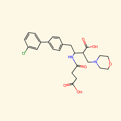 O=C(O)CCC(=O)NC(Cc1ccc(-c2cccc(Cl)c2)cc1)C(CN1CCOCC1)C(=O)O